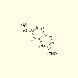 CCOc1ccc2ccc(C=O)nc2c1